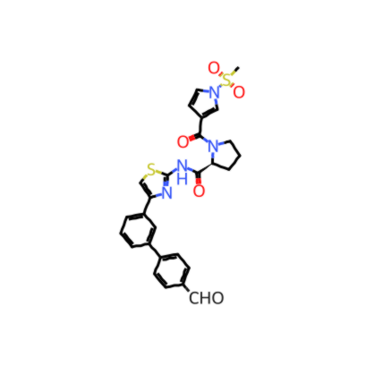 CS(=O)(=O)n1ccc(C(=O)N2CCC[C@H]2C(=O)Nc2nc(-c3cccc(-c4ccc(C=O)cc4)c3)cs2)c1